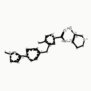 Cc1cnc(C(=O)N[C@H]2CCOC[C@@H]2O)cc1Cc1ccc(-c2ccn(C)n2)cc1